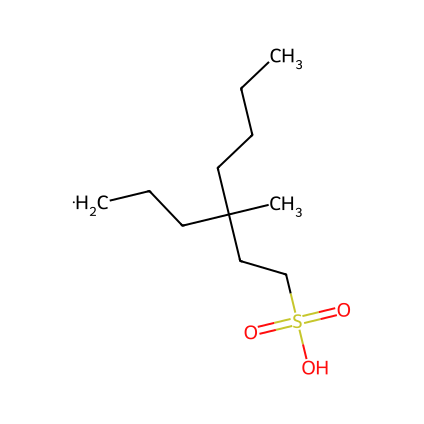 [CH2]CCC(C)(CCCC)CCS(=O)(=O)O